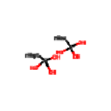 CCCCCCC[Si](O)(O)O.CCCCCC[Si](O)(O)O